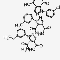 CCc1cccc(-n2ncc(C(=O)O)c2C(N)=O)c1.Cc1cccc(-n2ncc(C(=O)O)c2C(N)=O)c1.NC(=O)c1c(C(=O)O)cnn1-c1cccc(Cl)c1